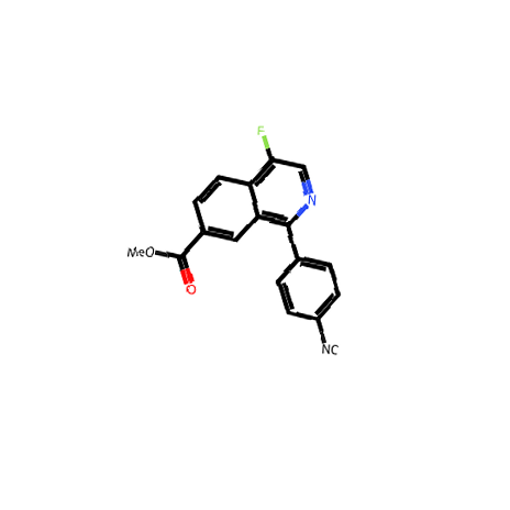 [C-]#[N+]c1ccc(-c2ncc(F)c3ccc(C(=O)OC)cc23)cc1